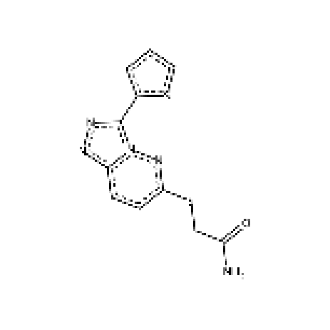 NC(=O)CSc1ccc2nnc(-c3cccs3)n2n1